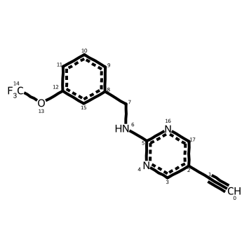 C#Cc1cnc(NCc2cccc(OC(F)(F)F)c2)nc1